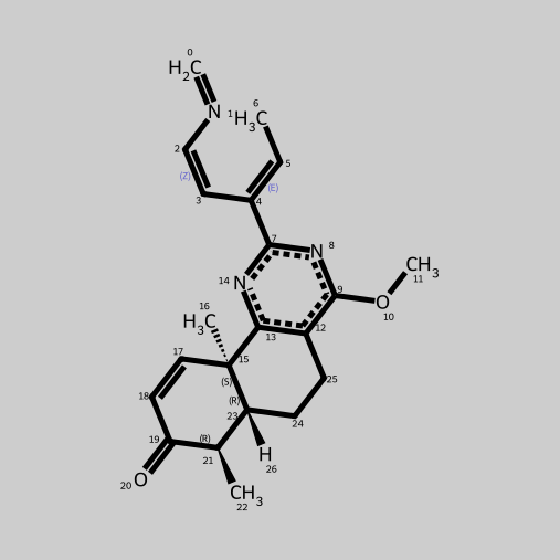 C=N/C=C\C(=C/C)c1nc(OC)c2c(n1)[C@]1(C)C=CC(=O)[C@H](C)[C@H]1CC2